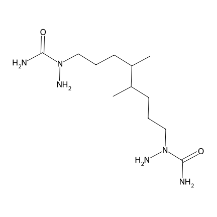 CC(CCCN(N)C(N)=O)C(C)CCCN(N)C(N)=O